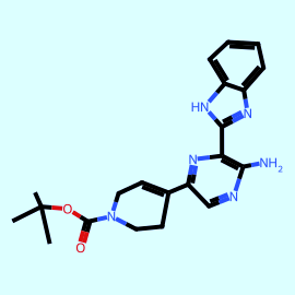 CC(C)(C)OC(=O)N1CC=C(c2cnc(N)c(-c3nc4ccccc4[nH]3)n2)CC1